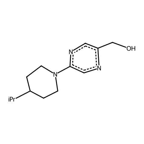 CC(C)C1CCN(c2cnc(CO)cn2)CC1